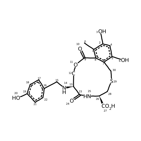 Cc1c(O)cc(O)c2c1C(=O)OC[C@H](NCc1ccc(O)cc1)C(=O)N[C@H](C(=O)O)CSC2